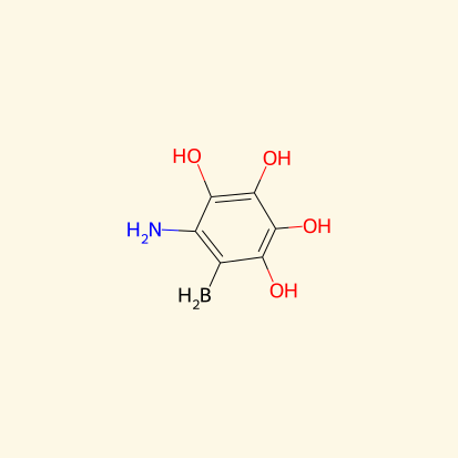 Bc1c(N)c(O)c(O)c(O)c1O